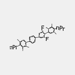 CCCc1c(C)cc(-c2ccc(-c3cc(F)c(-c4cc(C)c(CCC)c(C)c4C)c(F)c3)cc2)c(C)c1C